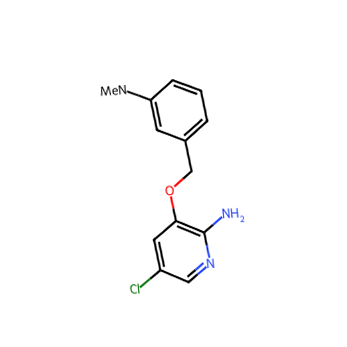 CNc1cccc(COc2cc(Cl)cnc2N)c1